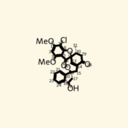 COc1cc(OC)c2c(c1Cl)O[C@]1(C2=O)C2=C(C[C@@](CCO)(c3ccccc3)O2)C(=O)C[C@H]1C